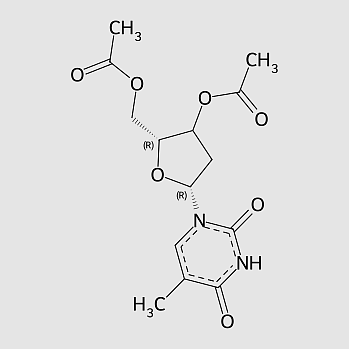 CC(=O)OC[C@H]1O[C@@H](n2cc(C)c(=O)[nH]c2=O)CC1OC(C)=O